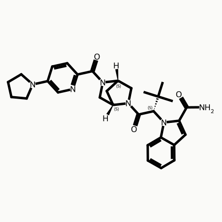 CC(C)(C)[C@@H](C(=O)N1C[C@@H]2C[C@H]1CN2C(=O)c1ccc(N2CCCC2)cn1)n1c(C(N)=O)cc2ccccc21